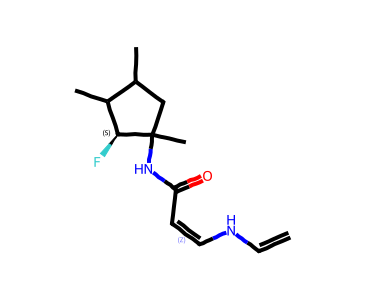 C=CN/C=C\C(=O)NC1(C)CC(C)C(C)[C@@H]1F